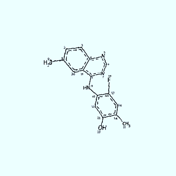 Bc1ccc2ncnc(Nc3cc(O)c(C)cc3F)c2c1